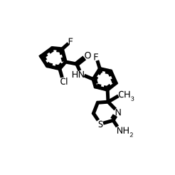 CC1(c2ccc(F)c(NC(=O)c3c(F)cccc3Cl)c2)CCSC(N)=N1